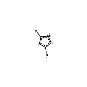 Fc1cc(Br)c[nH]1